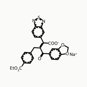 CCOC(=O)c1ccc(CC(C(=O)c2ccc3c(c2)OCO3)=C(C(=O)[O-])c2ccc3nsnc3c2)cc1.[Na+]